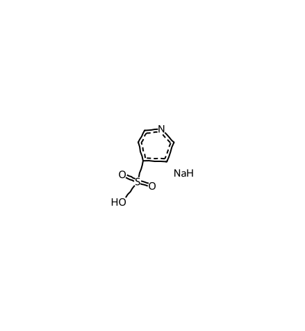 O=S(=O)(O)c1ccncc1.[NaH]